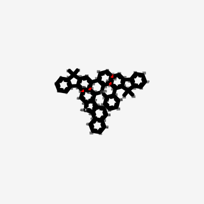 CC1(C)c2ccccc2-c2ccc(-c3ccccc3N(c3ccccc3-c3cccc4c3C(C)(C)c3ccccc3-4)c3cccc4oc5c6ccccc6ccc5c34)cc21